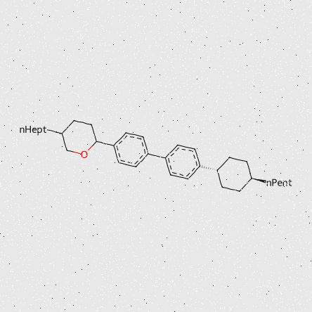 CCCCCCCC1CCC(c2ccc(-c3ccc([C@H]4CC[C@H](CCCCC)CC4)cc3)cc2)OC1